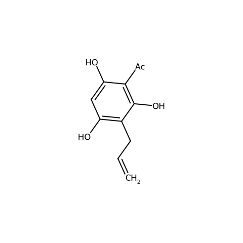 C=CCc1c(O)cc(O)c(C(C)=O)c1O